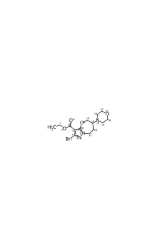 CCOC(=O)c1c(Br)nn2c1OCC(N1CCOCC1)CC2